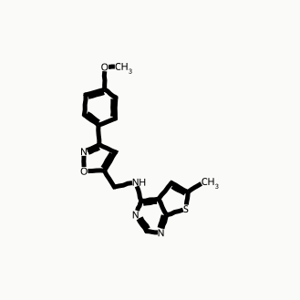 COc1ccc(-c2cc(CNc3ncnc4sc(C)cc34)on2)cc1